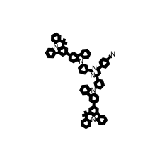 CC1(C)c2ccccc2-n2c3ccccc3c3cc(-c4ccc5c(c4)c4ccccc4n5-c4cccc(-c5cc(-c6ccc(C#N)cc6)nc(-c6cccc(-n7c8ccccc8c8cc(-c9cc%10c%11c(c9)c9ccccc9n%11-c9ccccc9C%10(C)C)ccc87)c6)n5)c4)cc1c32